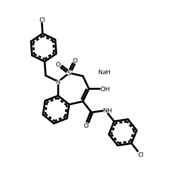 O=C(Nc1ccc(Cl)cc1)C1=C(O)CS(=O)(=O)N(Cc2ccc(Cl)cc2)c2ccccc21.[NaH]